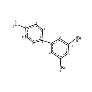 Cc1ccc(-c2cc(C(C)(C)C)cc(C(C)(C)C)c2)cn1